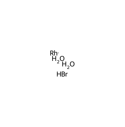 Br.O.O.[Rh]